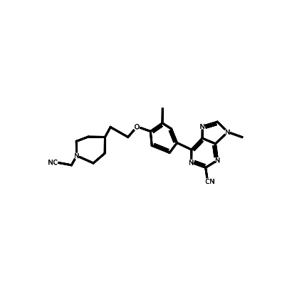 Cc1cc(-c2nc(C#N)nc3c2ncn3C)ccc1OCCC1CCN(CC#N)CC1